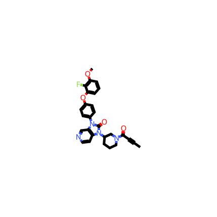 CC#CC(=O)N1CCCC(n2c(=O)n(-c3ccc(Oc4cccc(OC)c4F)cc3)c3cnccc32)C1